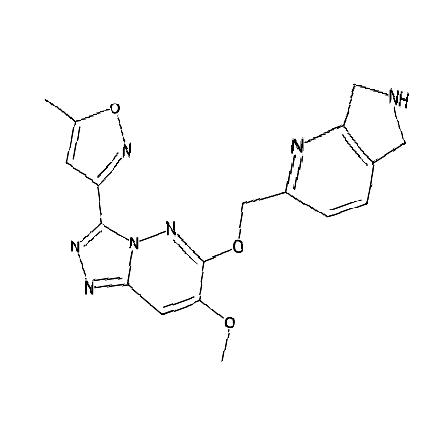 COc1cc2nnc(-c3cc(C)on3)n2nc1OCc1ccc2c(n1)CNC2